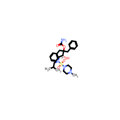 CC(C)CN(C[C@@H](O)C(Cc1ccccc1)(Cc1ccccc1)OC(N)=O)S(=O)(=O)N1CCN(C)CC1